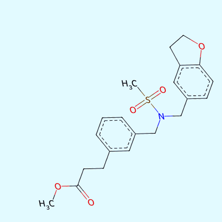 COC(=O)CCc1cccc(CN(Cc2ccc3c(c2)CCO3)S(C)(=O)=O)c1